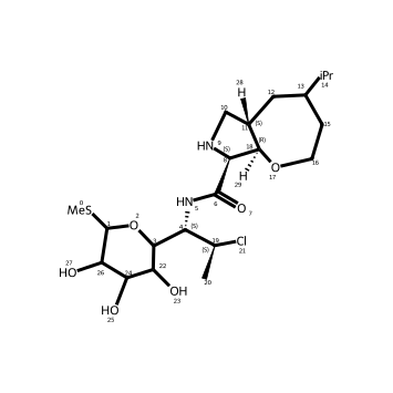 CSC1OC([C@H](NC(=O)[C@H]2NC[C@@H]3CC(C(C)C)CCO[C@H]32)[C@H](C)Cl)C(O)C(O)C1O